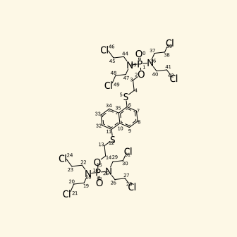 O=P(OCCSc1cccc2c(SCCOP(=O)(N(CCCl)CCCl)N(CCCl)CCCl)cccc12)(N(CCCl)CCCl)N(CCCl)CCCl